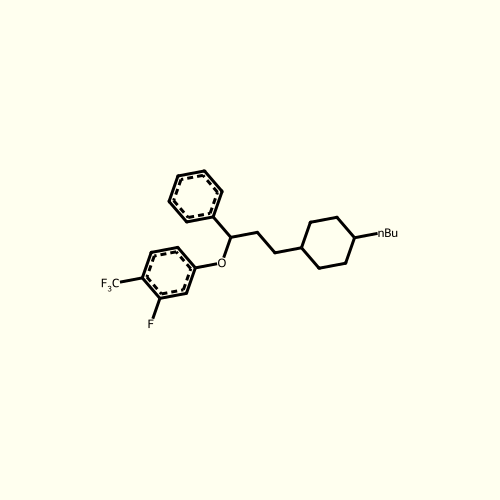 CCCCC1CCC(CCC(Oc2ccc(C(F)(F)F)c(F)c2)c2ccccc2)CC1